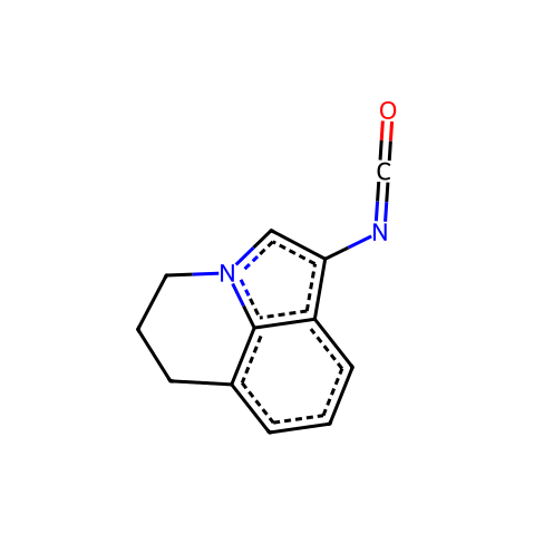 O=C=Nc1cn2c3c(cccc13)CCC2